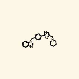 c1ccc2c(c1)ncn2Cc1ccc(-c2ncc(CN3CCCCC3)o2)cc1